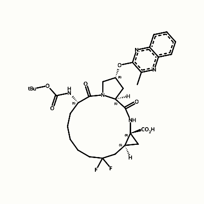 Cc1nc2ccccc2nc1O[C@@H]1C[C@H]2C(=O)N[C@]3(C(=O)O)C[C@H]3CC(F)(F)CCCCC[C@H](NC(=O)OC(C)(C)C)C(=O)N2C1